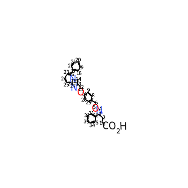 O=C(O)CC/C(=N/OCc1ccc(OCc2cn3c(-c4ccccc4)cccc3n2)cc1)c1ccccc1